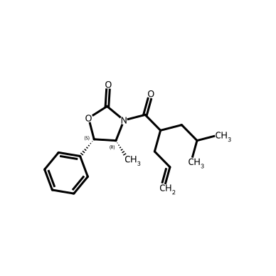 C=CCC(CC(C)C)C(=O)N1C(=O)O[C@@H](c2ccccc2)[C@H]1C